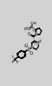 O=C([C@H]1CN(S(=O)(=O)c2ccc(C(F)(F)F)cc2)CCN1)N1CCC[C@H]1B(O)O